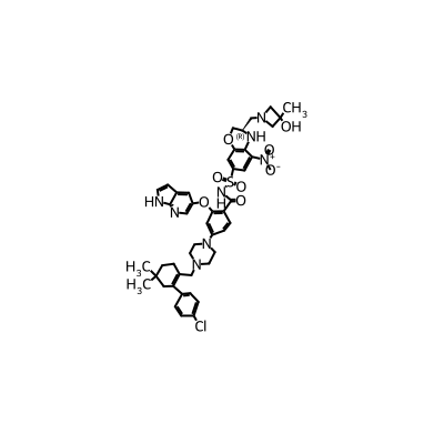 CC1(C)CCC(CN2CCN(c3ccc(C(=O)NS(=O)(=O)c4cc5c(c([N+](=O)[O-])c4)N[C@H](CN4CC(C)(O)C4)CO5)c(Oc4cnc5[nH]ccc5c4)c3)CC2)=C(c2ccc(Cl)cc2)C1